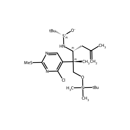 C=C(C)C[C@@H](N[S@@+]([O-])C(C)(C)C)[C@](C)(CO[Si](C)(C)C(C)(C)C)c1cnc(SC)nc1Cl